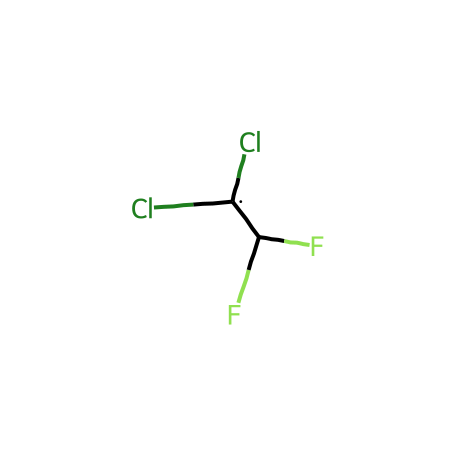 FC(F)[C](Cl)Cl